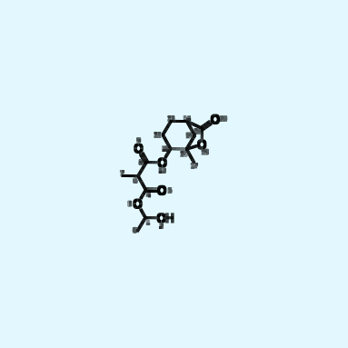 CC(O)OC(=O)C(C)C(=O)OC1CCC2CC1(C)OC2=O